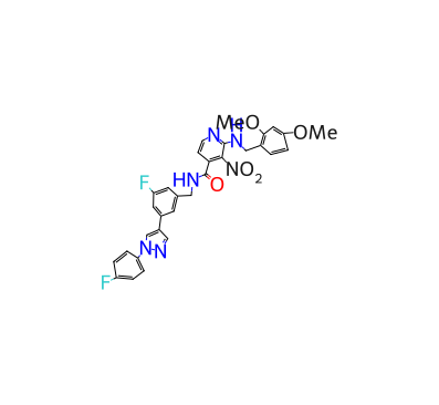 COc1ccc(CNc2nccc(C(=O)NCc3cc(F)cc(-c4cnn(-c5ccc(F)cc5)c4)c3)c2[N+](=O)[O-])c(OC)c1